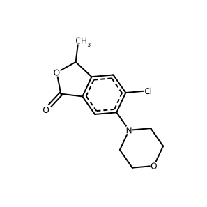 CC1OC(=O)c2cc(N3CCOCC3)c(Cl)cc21